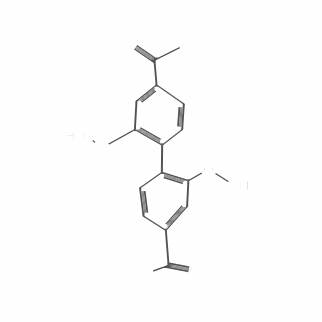 COc1cc(C(C)=O)ccc1-c1ccc(C(C)=O)cc1OC